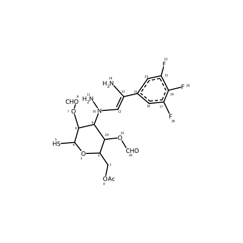 CC(=O)OCC1OC(S)C(OC=O)C(N(N)/C=C(\N)c2cc(F)c(F)c(F)c2)C1OC=O